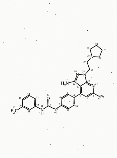 CC(C)c1cc(-c2ccc(NC(=O)Nc3cccc(C(F)(F)F)c3)cc2)c2c(N)nn(CCN3CCCC3)c2n1